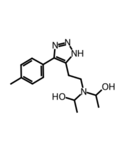 Cc1ccc(-c2nn[nH]c2CCN(C(C)O)C(C)O)cc1